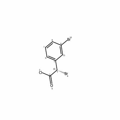 O=C(Cl)[C@@H](Br)c1cccc(Br)c1